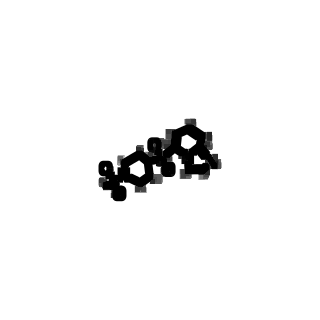 CS(=O)(=O)N1CCC(S(=O)(=O)c2cccc3nccn23)CC1